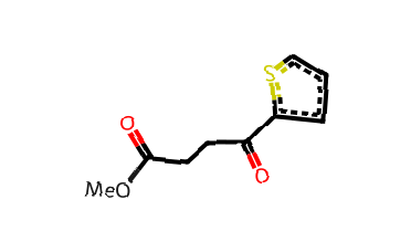 COC(=O)CCC(=O)c1cccs1